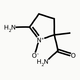 CC1(C(N)=O)CCC(N)=[N+]1[O-]